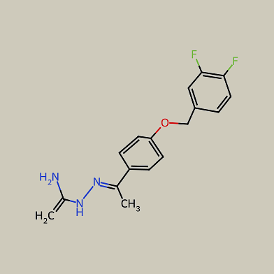 C=C(N)N/N=C(\C)c1ccc(OCc2ccc(F)c(F)c2)cc1